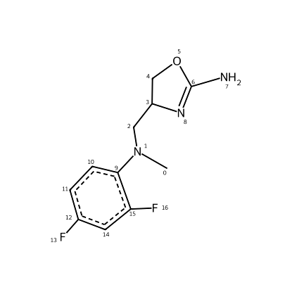 CN(CC1COC(N)=N1)c1ccc(F)cc1F